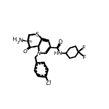 N[C@H]1CSC2=CC(C(=O)NC3CCC(F)(F)CC3)=CN(Cc3ccc(Cl)cc3)C2C1=O